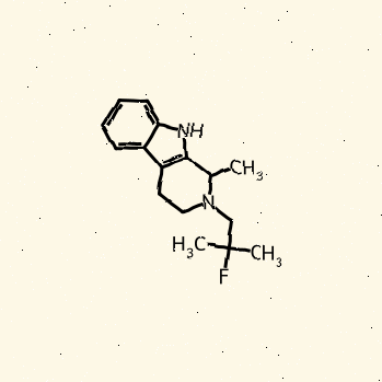 CC1c2[nH]c3ccccc3c2CCN1CC(C)(C)F